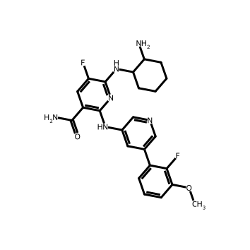 COc1cccc(-c2cncc(Nc3nc(NC4CCCCC4N)c(F)cc3C(N)=O)c2)c1F